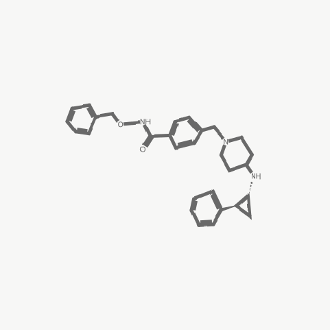 O=C(NOCc1ccccc1)c1ccc(CN2CCC(N[C@@H]3C[C@H]3c3ccccc3)CC2)cc1